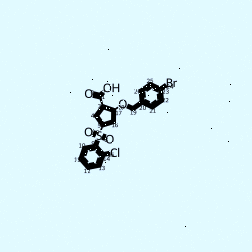 O=C(O)[C@@H]1C[C@@H](S(=O)(=O)c2ccccc2Cl)C[C@H]1OCc1ccc(Br)cc1